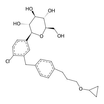 OC[C@H]1O[C@@H](c2ccc(Cl)c(Cc3ccc(CCCOC4CC4)cc3)c2)[C@H](O)[C@@H](O)[C@@H]1O